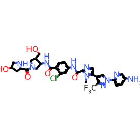 Cn1c(-c2cn(-c3ccc(N)cn3)nc2C(F)(F)F)cnc1C(=O)Nc1ccc(C(=O)NC2CN(C(=O)C3CC(O)CN3)CC2CO)c(Cl)c1